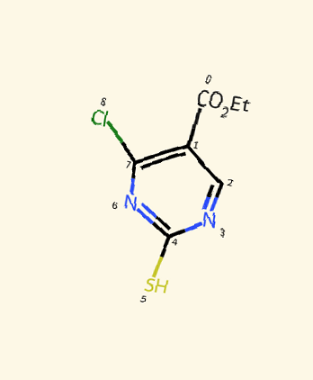 CCOC(=O)c1cnc(S)nc1Cl